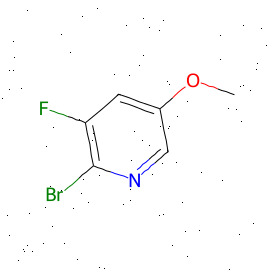 COc1cnc(Br)c(F)c1